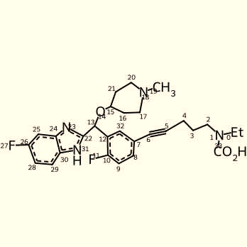 CCN(CCCC#Cc1ccc(F)c(C(OC2CCN(C)CC2)c2nc3cc(F)ccc3[nH]2)c1)C(=O)O